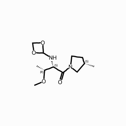 CO[C@H](C)[C@H](NC1OCO1)C(=O)N1CC[C@H](C)C1